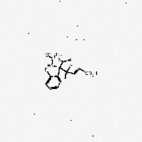 CC(C)(C)[S+]([O-])N[C@@](c1ccccc1F)(C(F)F)C(F)(F)/C=C/C(=O)O